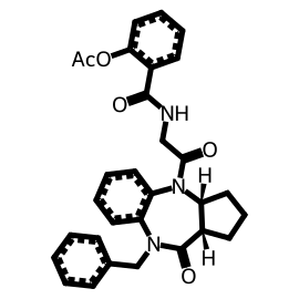 CC(=O)Oc1ccccc1C(=O)NCC(=O)N1c2ccccc2N(Cc2ccccc2)C(=O)[C@H]2CCC[C@H]21